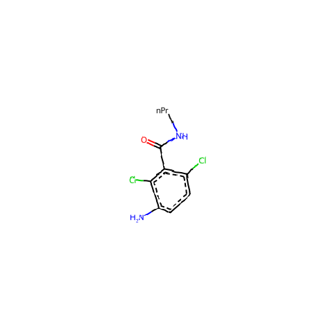 CCCNC(=O)c1c(Cl)ccc(N)c1Cl